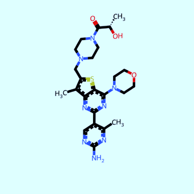 Cc1nc(N)ncc1-c1nc(N2CCOCC2)c2sc(CN3CCN(C(=O)[C@H](C)O)CC3)c(C)c2n1